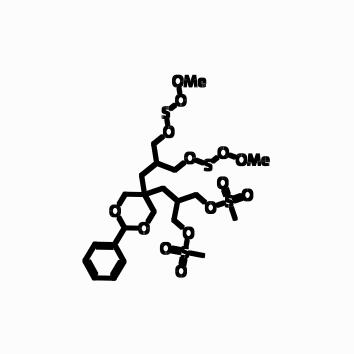 COOSOCC(COSOOC)CC1(CC(COS(C)(=O)=O)COS(C)(=O)=O)COC(c2ccccc2)OC1